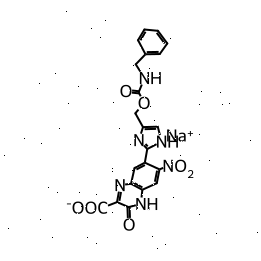 O=C(NCc1ccccc1)OCc1c[nH]c(-c2cc3nc(C(=O)[O-])c(=O)[nH]c3cc2[N+](=O)[O-])n1.[Na+]